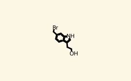 OCCc1c[nH]c2cc(CBr)ccc12